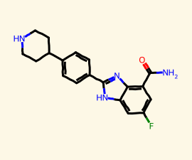 NC(=O)c1cc(F)cc2[nH]c(-c3ccc(C4CCNCC4)cc3)nc12